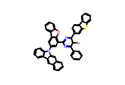 CCC1C(c2ccccc2)=NC(c2cc(-n3c4ccccc4c4cc5ccccc5cc43)cc3c2oc2ccccc23)=NC1c1ccc2c(c1)sc1ccccc12